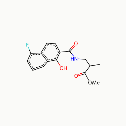 COC(=O)C(C)CNC(=O)c1ccc2c(F)cccc2c1O